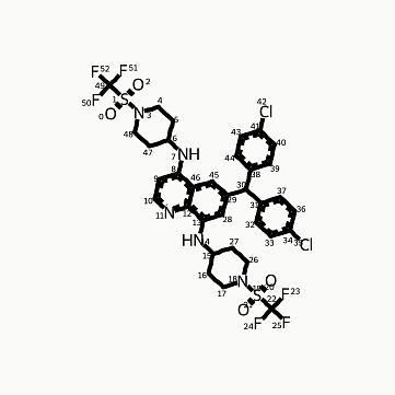 O=S(=O)(N1CCC(Nc2ccnc3c(NC4CCN(S(=O)(=O)C(F)(F)F)CC4)cc(C(c4ccc(Cl)cc4)c4ccc(Cl)cc4)cc23)CC1)C(F)(F)F